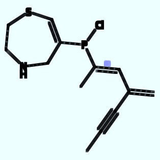 C=C(C#CC)/C=C(\C)P(Cl)C1=CSCCNC1